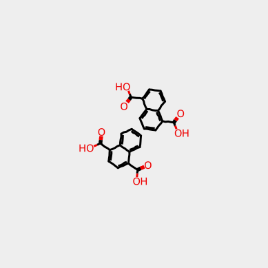 O=C(O)c1ccc(C(=O)O)c2ccccc12.O=C(O)c1cccc2c(C(=O)O)cccc12